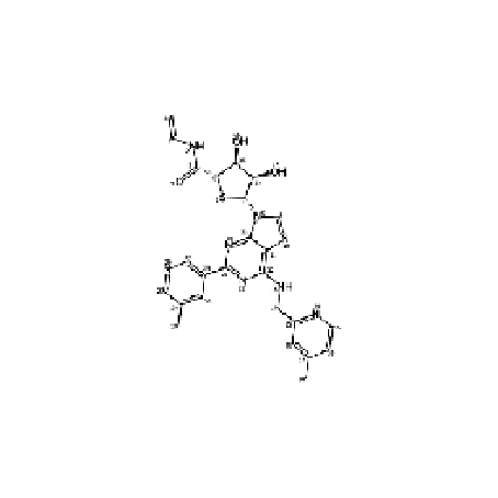 C=CNC(=O)[C@H]1S[C@@H](n2cnc3c(NCc4cc(C)ccn4)nc(-c4cncc(C)c4)nc32)[C@H](O)[C@@H]1O